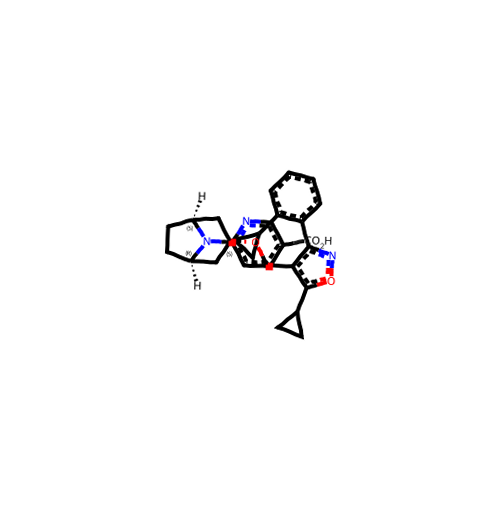 O=C(O)c1ccc(N2[C@@H]3CC[C@H]2C[C@H](OCc2c(-c4ccccc4C4CC4)noc2C2CC2)C3)nc1